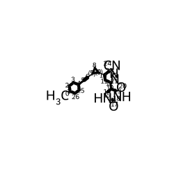 Cc1ccc(C#C[C@H]2C[C@@H]2c2cc(-c3c[nH]c(=O)[nH]c3=O)nnc2C#N)cc1